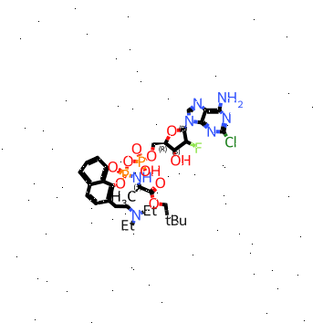 CCN(CC)CCc1ccc2ccccc2c1OP(=O)(N[C@@H](C)C(=O)OCC(C)(C)C)OP(=O)(O)OC[C@H]1O[C@@H](n2cnc3c(N)nc(Cl)nc32)C(F)[C@H]1O